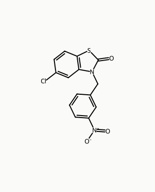 O=c1sc2ccc(Cl)cc2n1Cc1cccc([N+](=O)[O-])c1